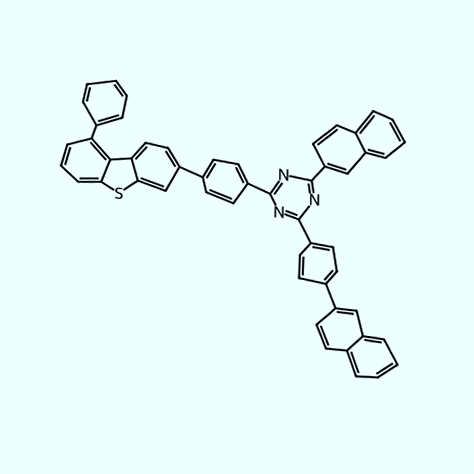 c1ccc(-c2cccc3sc4cc(-c5ccc(-c6nc(-c7ccc(-c8ccc9ccccc9c8)cc7)nc(-c7ccc8ccccc8c7)n6)cc5)ccc4c23)cc1